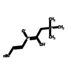 CCCCC=C[P+]([O-])=C(O)C[N+](C)(C)C